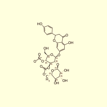 C[C@@H]1O[C@@H](O[C@H]2[C@H](Oc3cc(O)c4c(c3)OC(c3ccc(O)cc3)CC4=O)O[C@H](CO)[C@@H](O[N+](=O)[O-])[C@@H]2O[N+](=O)[O-])[C@H](O)[C@H](O)[C@H]1O